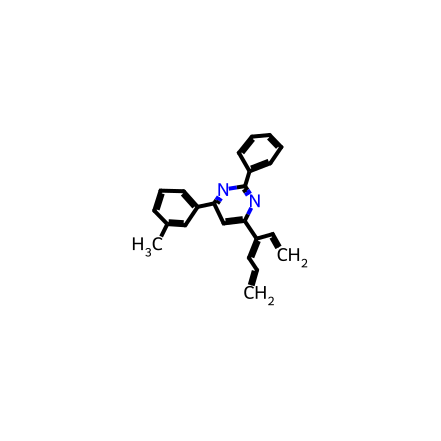 C=C/C=C(\C=C)c1cc(-c2cccc(C)c2)nc(-c2ccccc2)n1